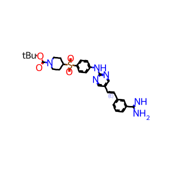 CC(C)(C)OC(=O)N1CCC(S(=O)(=O)c2ccc(Nc3ncc(/C=C/c4cccc(C(=N)N)c4)cn3)cc2)CC1